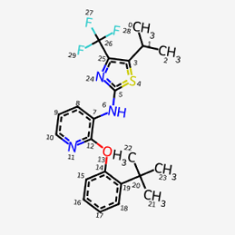 CC(C)c1sc(Nc2cccnc2Oc2ccccc2C(C)(C)C)nc1C(F)(F)F